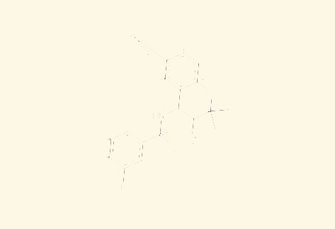 CC1(C)Oc2ccc(C#N)cc2C(NC(=O)c2cccc(F)c2)C1O